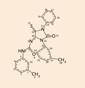 Cc1cccc(NC(=O)/N=C2/C(=S)N(c3ccccc3)C(=O)N2c2cccc(C)c2)c1